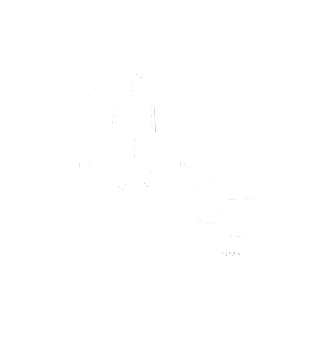 CNC(=O)c1cc(Cn2nc(C)c(-c3ccc(C#N)c(Cl)c3)c2C)ccc1F